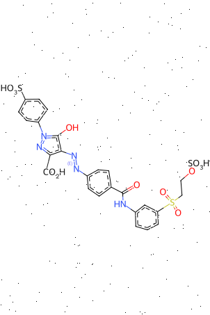 O=C(Nc1cccc(S(=O)(=O)CCOS(=O)(=O)O)c1)c1ccc(/N=N/c2c(C(=O)O)nn(-c3ccc(S(=O)(=O)O)cc3)c2O)cc1